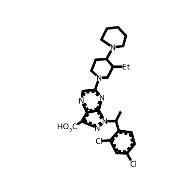 CCC1CN(c2cnc3c(C(=O)O)nn(C(C)c4ccc(Cl)cc4Cl)c3n2)CCC1N1CCCCC1